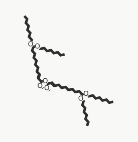 CCCCCCCCOC(CCCCCCCC=CC(OC)OC(C=CCCCCCCCC(OCCCCCCCC)OCCCCCCCC)OC)OCCCCCCCC